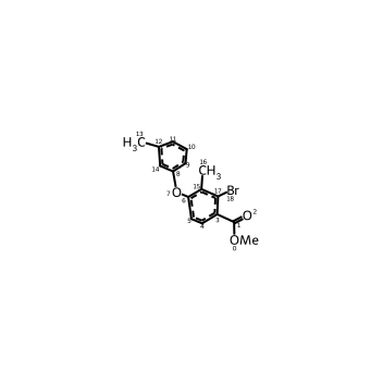 COC(=O)c1ccc(Oc2cccc(C)c2)c(C)c1Br